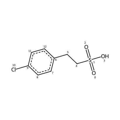 O=S(=O)(O)CCc1ccc(Cl)cc1